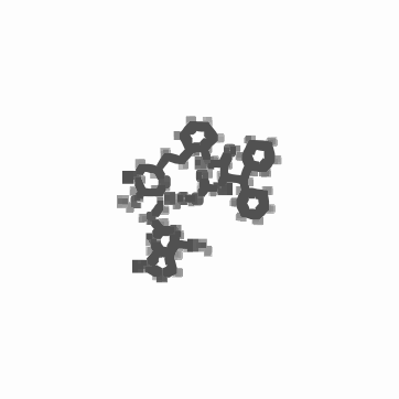 COC(=O)NC(C(=O)Nc1ccccc1CC[C@@H]1CN[C@H](C)[C@@H](CSc2nc(N)c3cn[nH]c3n2)O1)C(c1ccccc1)c1ccccc1